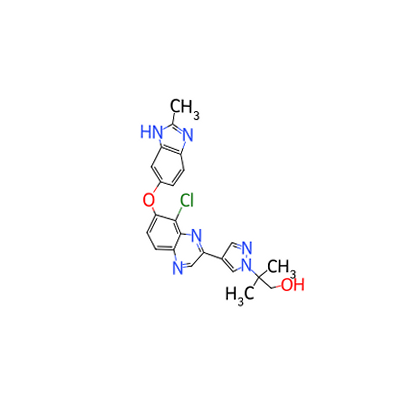 Cc1nc2ccc(Oc3ccc4ncc(-c5cnn(C(C)(C)CO)c5)nc4c3Cl)cc2[nH]1